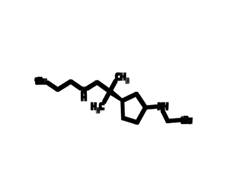 CC(C)(C)CCNCC(C)(C)[C@@H]1CCC(NCC(C)(C)C)C1